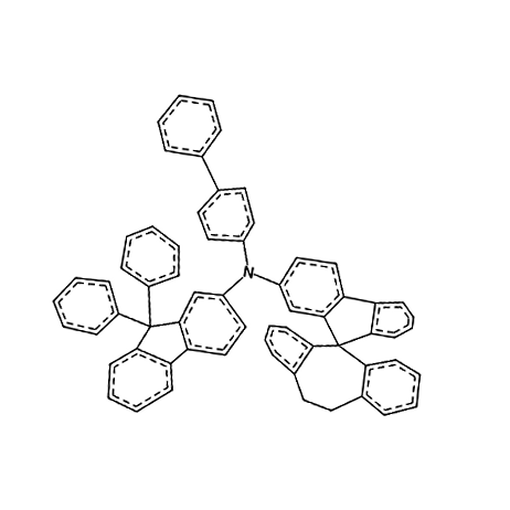 c1ccc(-c2ccc(N(c3ccc4c(c3)C(c3ccccc3)(c3ccccc3)c3ccccc3-4)c3ccc4c(c3)C3(c5ccccc5CCc5ccccc53)c3ccccc3-4)cc2)cc1